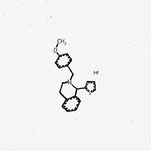 COc1ccc(CN2CCc3ccccc3C2c2cccs2)cc1.I